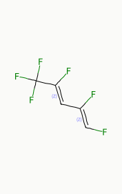 F/C=C(F)/C=C(\F)C(F)(F)F